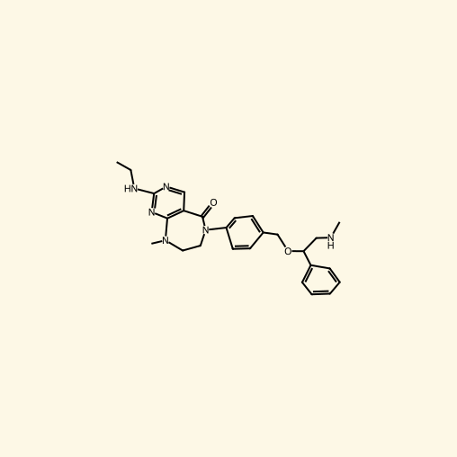 CCNc1ncc2c(n1)N(C)CCN(c1ccc(COC(CNC)c3ccccc3)cc1)C2=O